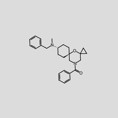 CN(Cc1ccccc1)[C@H]1CC[C@]2(CC1)CN(C(=O)c1ccccc1)CC1(CC1)O2